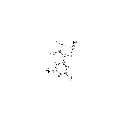 COC(=O)C(CC#N)c1cc(Cl)cc(Cl)c1